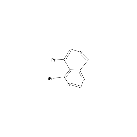 CC(C)c1cncc2ncnc(C(C)C)c12